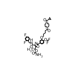 C[C@H](OC(N)=O)c1oc(-c2ccc(OC(F)F)c(OCCCCC(=O)N3CCN(C(=O)C4CC4)CC3)c2)nc1C(=O)NCc1ccc(F)cc1F